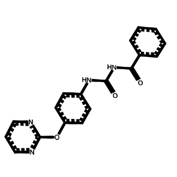 O=C(NC(=O)c1ccccc1)Nc1ccc(Oc2ncccn2)cc1